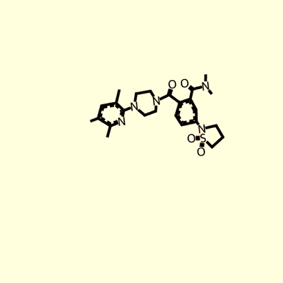 Cc1cc(C)c(N2CCN(C(=O)c3ccc(N4CCCS4(=O)=O)cc3C(=O)N(C)C)CC2)nc1C